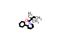 C=CC(C)(C)C(=O)N1C=CC=CC1C1CCCCC1